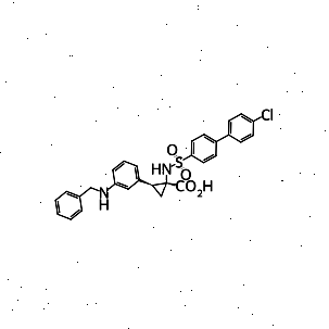 O=C(O)[C@@]1(NS(=O)(=O)c2ccc(-c3ccc(Cl)cc3)cc2)C[C@H]1c1cccc(NCc2ccccc2)c1